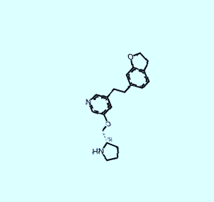 c1cc2c(cc1CCc1cncc(OC[C@@H]3CCCN3)c1)OCC2